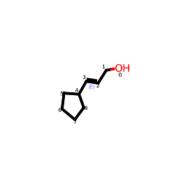 OC/C=C/C1CCCC1